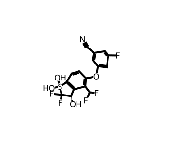 N#Cc1cc(F)cc(Oc2ccc3c(c2C(F)F)[C@H](O)C(F)(F)S3(O)O)c1